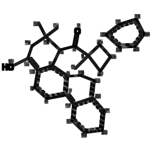 CC1(C(=O)C2c3c4c(ccc3=C(O)CC2(C)C)=c2ccccc2=CC4)CCC1.c1ccccc1